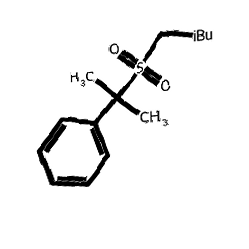 CCC(C)CS(=O)(=O)C(C)(C)c1ccccc1